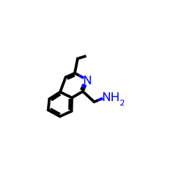 CCc1cc2ccccc2c(CN)n1